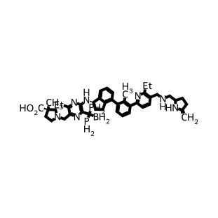 BC(P)(P)c1nc(CN2CC[C@@](C)(C(=O)O)C2)c(CC)nc1N[C@H]1CCc2c(-c3cccc(-c4ccc(CNCC5CCC(=C)N5)c(CC)n4)c3C)cccc21